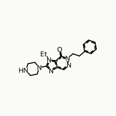 CCn1c(N2CCNCC2)nc2cnn(CCc3ccccc3)c(=O)c21